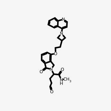 CNC(=O)C(CCC=O)N1Cc2c(OCCC3CN(c4ccnc5ccccc45)C3)cccc2C1=O